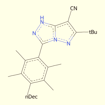 CCCCCCCCCCc1c(C)c(C)c(-c2n[nH]c3c(C#N)c(C(C)(C)C)nn23)c(C)c1C